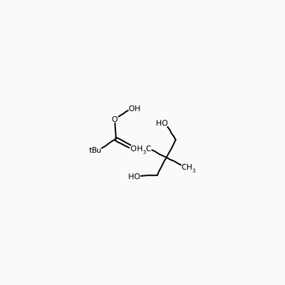 CC(C)(C)C(=O)OO.CC(C)(CO)CO